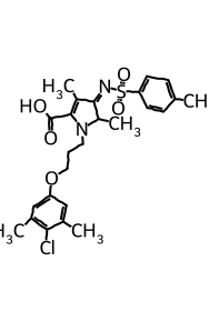 CC1=C(C(=O)O)N(CCCOc2cc(C)c(Cl)c(C)c2)C(C)C1=NS(=O)(=O)c1ccc(C)cc1